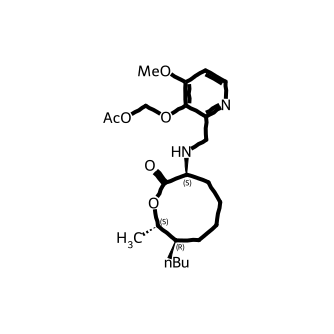 CCCC[C@@H]1CCCC[C@H](NCc2nccc(OC)c2OCOC(C)=O)C(=O)O[C@H]1C